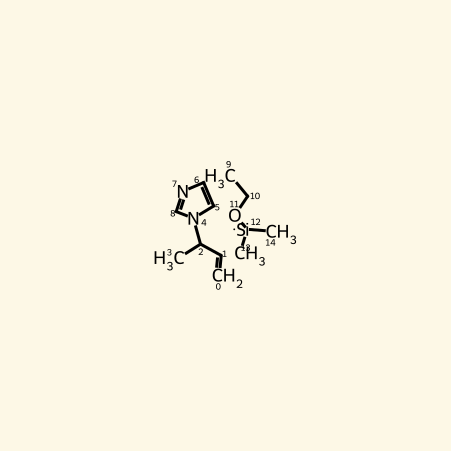 C=CC(C)n1ccnc1.CCO[Si](C)C